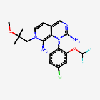 COC(C)(C)CN1C=CC2=CN=C(N)N(c3ccc(Cl)cc3OC(F)F)C2=C1N